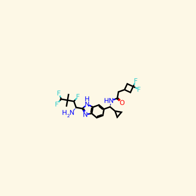 CC(C)(C(F)F)C(F)[C@@H](N)c1nc2ccc([C@H](NC(=O)CC3CC(F)(F)C3)C3CC3)cc2[nH]1